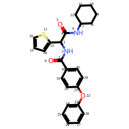 O=C(NC(C(=O)NC1CCCCC1)c1cccs1)c1ccc(Oc2ccccc2)cc1